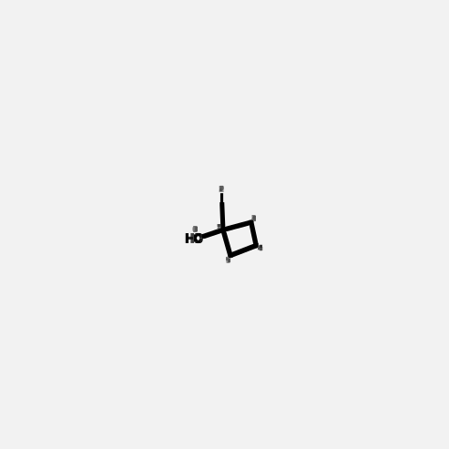 OC1(I)CCC1